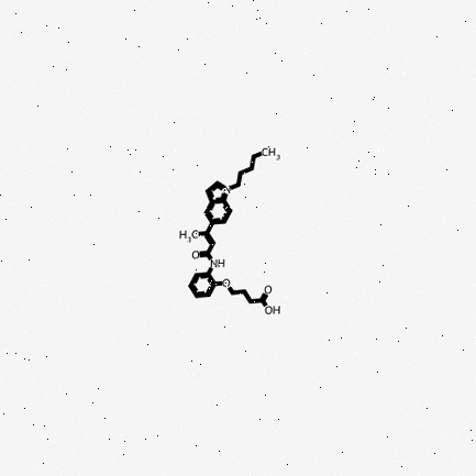 CCCCCn1ccc2cc(C(C)=CC(=O)Nc3ccccc3OCCCC(=O)O)ccc21